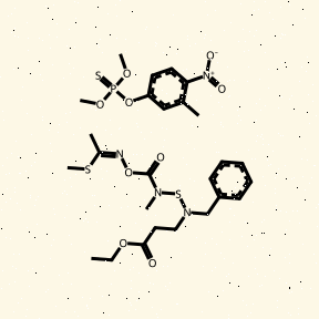 CCOC(=O)CCN(Cc1ccccc1)SN(C)C(=O)O/N=C(/C)SC.COP(=S)(OC)Oc1ccc([N+](=O)[O-])c(C)c1